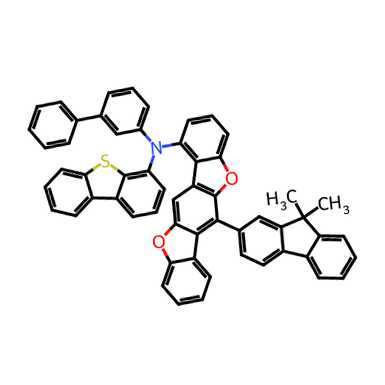 CC1(C)c2ccccc2-c2ccc(-c3c4oc5cccc(N(c6cccc(-c7ccccc7)c6)c6cccc7c6sc6ccccc67)c5c4cc4oc5ccccc5c34)cc21